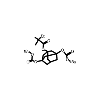 CCC(C)(C)C(=O)OC12CC3CC(OC(=O)OC(C)(C)C)(CC(OC(=O)OC(C)(C)C)(C3)C1)C2